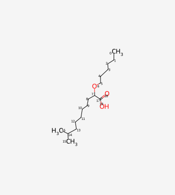 CCCCCCOC(CCCCCCC(C)C)C(=O)O